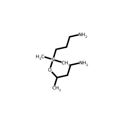 CC(CCN)O[Si](C)(C)CCCN